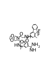 Cc1cc(C(=O)NCC(=O)N2CC3(CC2C(=O)N[C@H](C)c2cc(C(=N)N)cs2)OCCO3)cc2c1C(F)(F)c1ccccc1-2